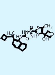 Cc1sc(S(=N)(=O)NC(=O)Nc2c(C(C)C3CCC3)ccc3c2CCC3)nc1C1(O)COC1